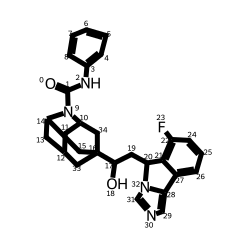 O=C(Nc1ccccc1)N1C2CC3CC1CC(C(O)CC1c4c(F)cccc4-c4cncn41)(C3)C2